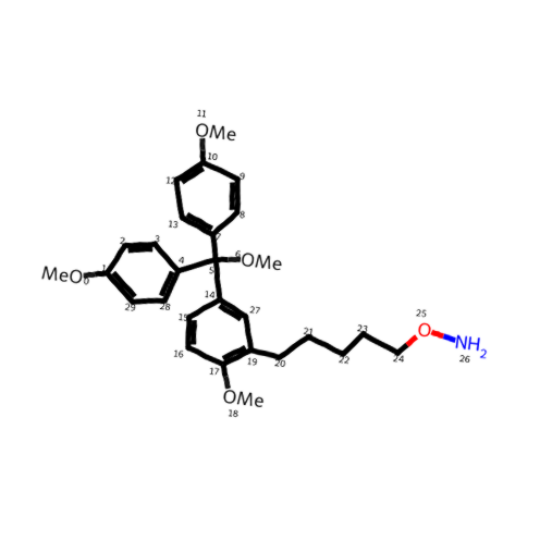 COc1ccc(C(OC)(c2ccc(OC)cc2)c2ccc(OC)c(CCCCCON)c2)cc1